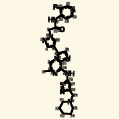 Cc1cn2c(-c3cnn(CC(=O)Nc4ccncc4F)c3)cnc2c(Nc2cc(CN3CCCCC3)ns2)n1